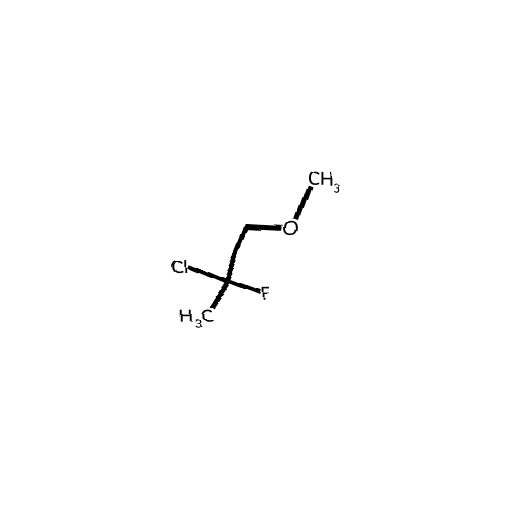 COCC(C)(F)Cl